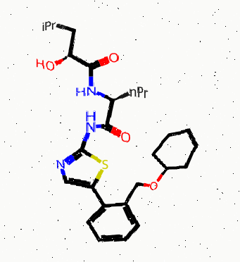 CCC[C@H](NC(=O)[C@@H](O)CC(C)C)C(=O)Nc1ncc(-c2ccccc2COC2CCCCC2)s1